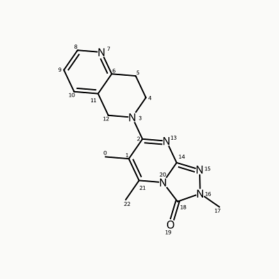 Cc1c(N2CCc3ncccc3C2)nc2nn(C)c(=O)n2c1C